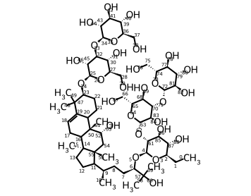 CC[C@H]1O[C@@H](O[C@H](CC[C@@H](C)C2CC[C@@]3(C)C4CC=C5C(CC[C@H](O[C@@H]6O[C@H](CO)[C@@H](O)[C@H](O[C@@H]7O[C@H](CO)[C@@H](O)[C@H](O)[C@H]7O)[C@H]6O)C5(C)C)[C@]4(C)[C@H](O)C[C@]23C)C(C)(C)O)[C@H](O[C@@H]2O[C@H](CO)[C@@H](O)[C@H](O[C@@H]3O[C@H](CO)[C@@H](O)[C@H](O)[C@H]3O)[C@H]2O)[C@@H](O)[C@@H]1O